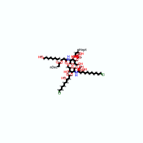 CCCCCCCCCCCC(=O)O[C@H](CCCCCCCCO)CC(=O)NC1C(OCC2OC(OP(=O)(O)O)C(NC(=O)C[C@H](O)CCCCCCCCCl)C(OC(=O)C[C@H](O)CCCCCCCl)C2O)OC(CO)C(OP(=O)(O)O)C1OC(=O)C[C@H](O)CCCCCCC